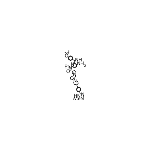 CCN(C(=O)[C@@H]1CCN(CC(=O)N2CC=C(c3ccc(C(=N)/N=C\NC)cc3)CC2)C1)c1ccc(N)c(C(=N)c2ccc(OC(C)I)cc2)n1